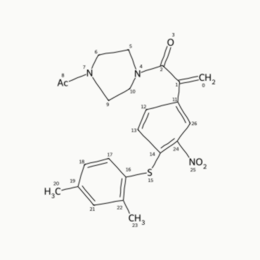 C=C(C(=O)N1CCN(C(C)=O)CC1)c1ccc(Sc2ccc(C)cc2C)c([N+](=O)[O-])c1